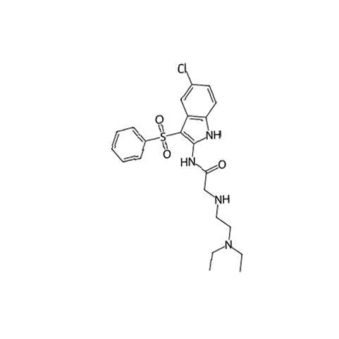 CCN(CC)CCNCC(=O)Nc1[nH]c2ccc(Cl)cc2c1S(=O)(=O)c1ccccc1